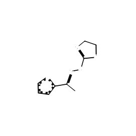 C/C(=N\NC1=NCCS1)c1cccs1